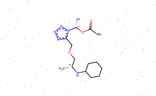 CC(C)[C@H](OC(=O)C(C)(C)C)n1nnnc1COC[C@@H](C)NC1CCCCC1